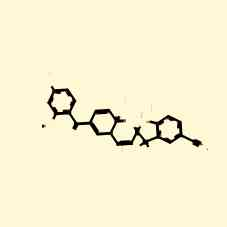 COc1ccc(C(=O)C2=CC3C=CC4(OC3(C)C=C2)N(C)c2ccc(C#N)cc2C4(C)C)c(OC)c1